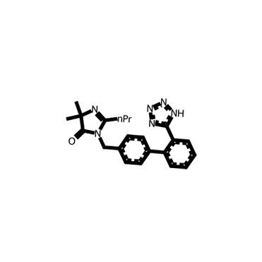 CCCC1=NC(C)(C)C(=O)N1Cc1ccc(-c2ccccc2-c2nnn[nH]2)cc1